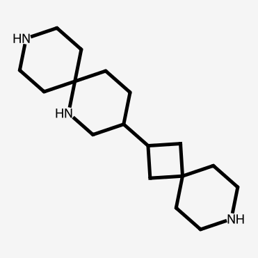 C1CC2(CCN1)CC(C1CCC3(CCNCC3)NC1)C2